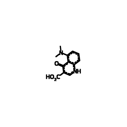 CN(C)c1cccc2[nH]cc(C(=O)O)c(=O)c12